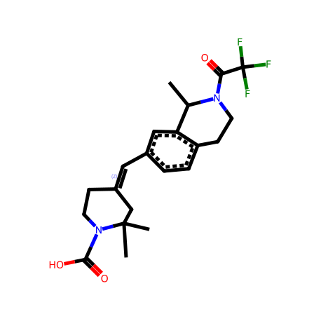 CC1c2cc(/C=C3/CCN(C(=O)O)C(C)(C)C3)ccc2CCN1C(=O)C(F)(F)F